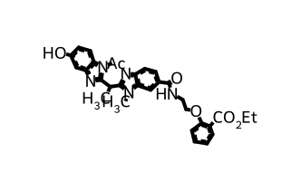 CCOC(=O)c1ccccc1OCCNC(=O)c1ccc2nc(C(C)c3nc4cc(O)ccc4n3C(C)=O)n(C)c2c1